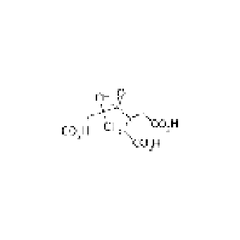 CC(C)(CC(=O)O)C(=O)N(CC(=O)O)CC(=O)O